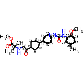 COC(=O)C(C)(C)NCC(=O)C1CCC(c2ccc(NC(=O)Nc3cc(C)ccc3OC)cc2)CC1